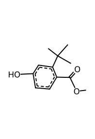 COC(=O)c1ccc(O)cc1C(C)(C)C